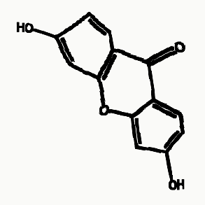 O=c1c2ccc(O)cc2oc2cc(O)ccc12